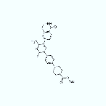 CC(C)(C)OC(=O)N1CCC(c2ccc(-c3cc(-c4ccc5c(c4)CCNC5=O)c(N)nc3F)cc2)CC1